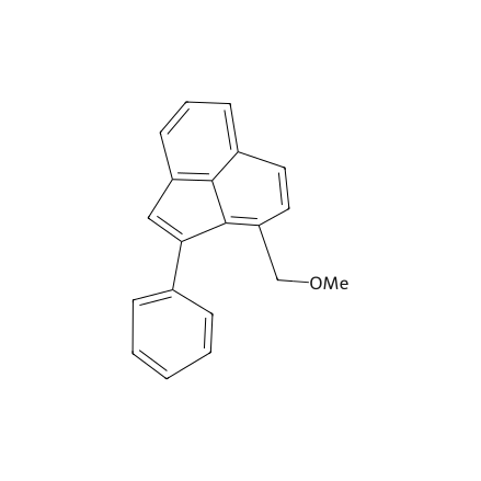 COCc1ccc2cccc3c2c1C(c1ccccc1)=C3